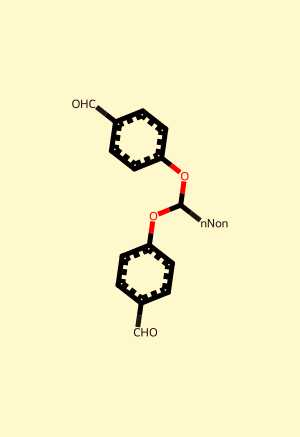 CCCCCCCCCC(Oc1ccc(C=O)cc1)Oc1ccc(C=O)cc1